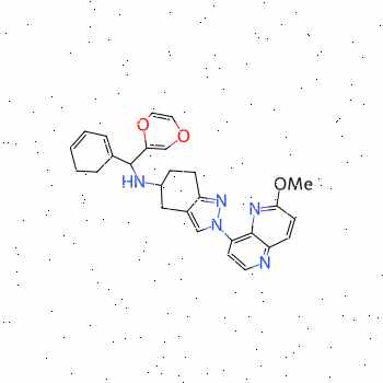 COc1ccc2nccc(-n3cc4c(n3)CCC(NC(C3=CC=CCC3)C3=COC=CO3)C4)c2n1